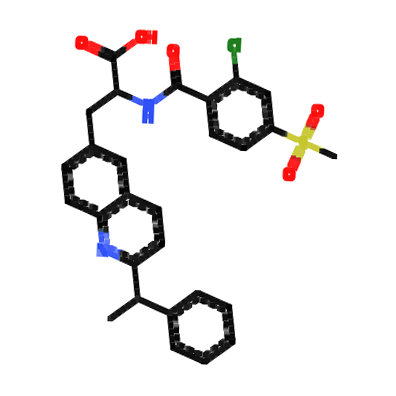 CC(c1ccccc1)c1ccc2cc(CC(NC(=O)c3ccc(S(C)(=O)=O)cc3Cl)C(=O)O)ccc2n1